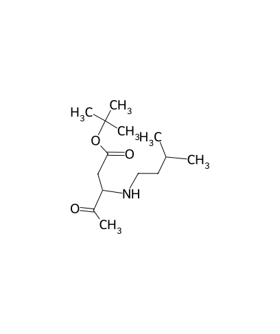 CC(=O)C(CC(=O)OC(C)(C)C)NCCC(C)C